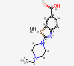 CCN1CCN(c2nc3ccc(C(=O)O)cc3s2)CC1.[LiH]